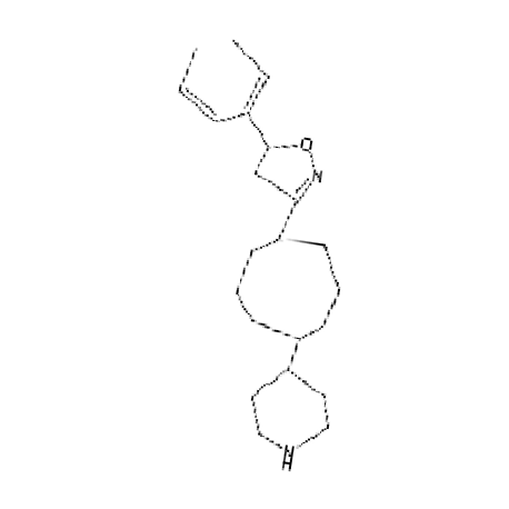 C/C=C\C(=C/C)C1CC(C2CCCC(C3CCNCC3)CCC2)=NO1